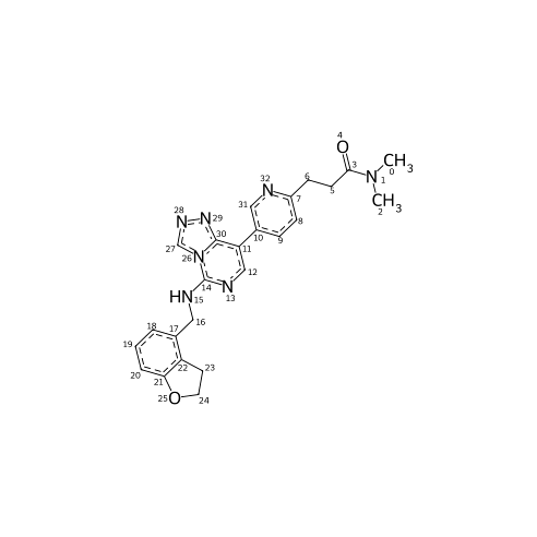 CN(C)C(=O)CCc1ccc(-c2cnc(NCc3cccc4c3CCO4)n3cnnc23)cn1